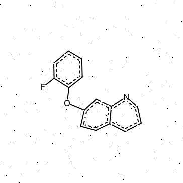 Fc1ccccc1Oc1[c]cc2cccnc2c1